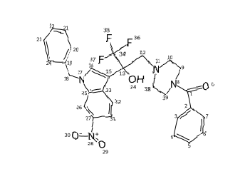 O=C(c1ccccc1)N1CCN(CC(O)(c2cn(Cc3ccccc3)c3cc([N+](=O)[O-])ccc23)C(F)(F)F)CC1